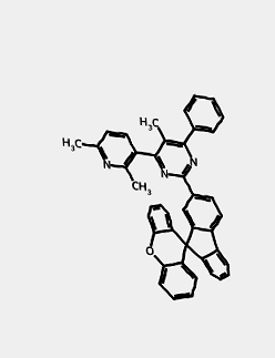 Cc1ccc(-c2nc(-c3ccc4c(c3)C3(c5ccccc5Oc5ccccc53)c3ccccc3-4)nc(-c3ccccc3)c2C)c(C)n1